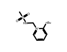 CCCCc1cccc[n+]1CNS(C)(=O)=O